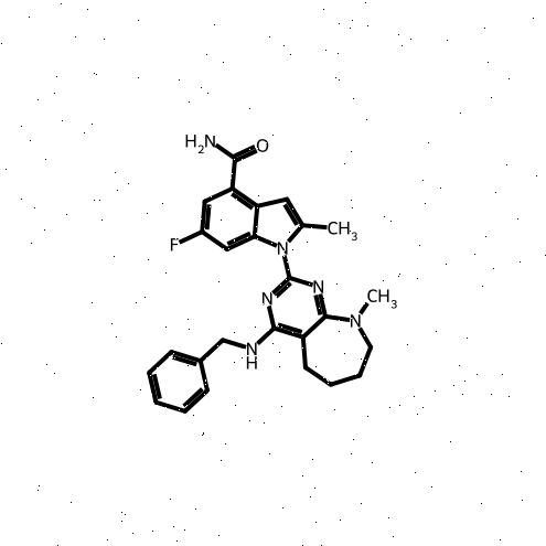 Cc1cc2c(C(N)=O)cc(F)cc2n1-c1nc(NCc2ccccc2)c2c(n1)N(C)CCCC2